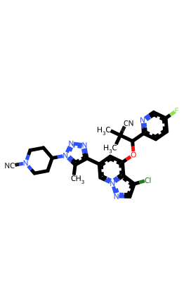 Cc1c(-c2cc(OC(c3ccc(F)cn3)C(C)(C)C#N)c3c(Cl)cnn3c2)nnn1C1CCN(C#N)CC1